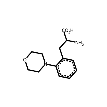 NC(Cc1ccccc1N1CCOCC1)C(=O)O